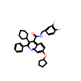 O=C(NCc1ccc(F)c(F)c1)c1c(C2CCCCC2)c(-c2ccccc2)nc2cc(OC3CCCC3)ccc12